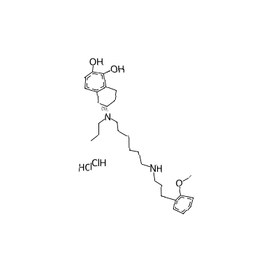 CCCN(CCCCCCNCCCc1ccccc1OC)[C@H]1CCc2c(ccc(O)c2O)C1.Cl.Cl